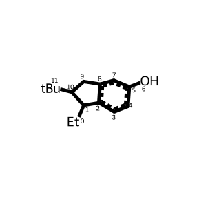 CCC1c2ccc(O)cc2CC1C(C)(C)C